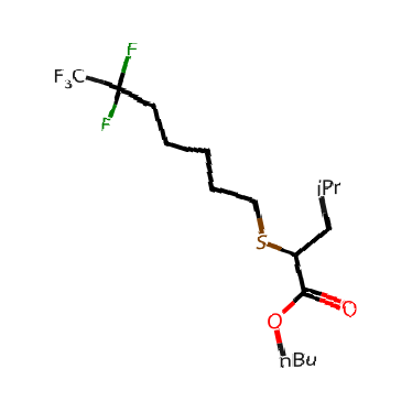 CCCCOC(=O)C(CC(C)C)SCCCCCC(F)(F)C(F)(F)F